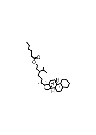 CCCCCC(=O)OCC[C@H](CC[C@@H](C)[C@H]1CC[C@H]2[C@@H]3CCC4CCCC[C@]4(C)[C@H]3CC[C@]12C)C(C)C